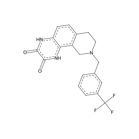 O=c1[nH]c2ccc3c(c2[nH]c1=O)CN(Cc1cccc(C(F)(F)F)c1)CC3